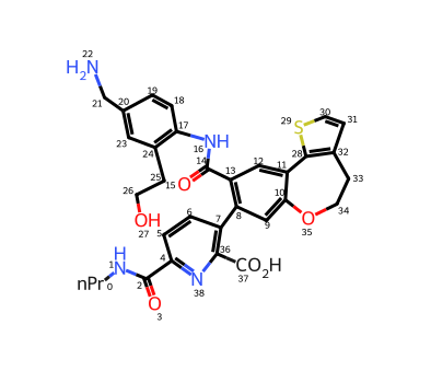 CCCNC(=O)c1ccc(-c2cc3c(cc2C(=O)Nc2ccc(CN)cc2CCO)-c2sccc2CCO3)c(C(=O)O)n1